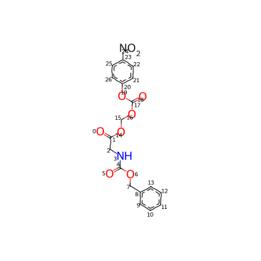 O=C(CNC(=O)OCc1ccccc1)OCOC(=O)Oc1ccc([N+](=O)[O-])cc1